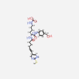 CSc1ncc(C#CCCCC(=O)N[C@@H](CCCCNC(=O)O)C(=O)Nc2ccc(CO)cc2)cn1